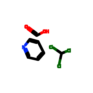 ClC(Cl)Cl.O=CO.c1ccncc1